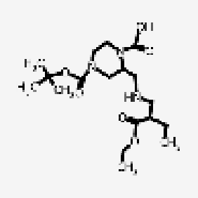 CCOC(=O)C(CC)CNCC1CN(C(=O)OC(C)(C)C)CCN1C(=O)O